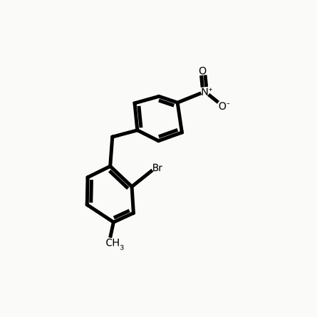 Cc1ccc(Cc2ccc([N+](=O)[O-])cc2)c(Br)c1